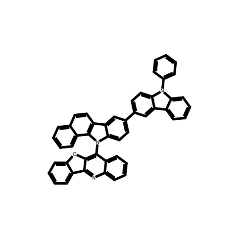 c1ccc(-n2c3ccccc3c3cc(-c4ccc5c(c4)c4ccc6ccccc6c4n5-c4c5ccccc5nc5c4oc4ccccc45)ccc32)cc1